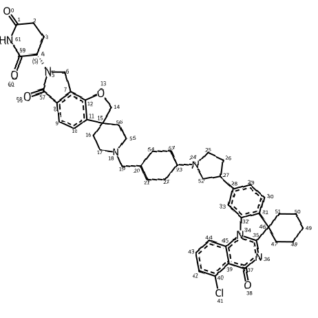 O=C1CC[C@H](N2Cc3c(ccc4c3OCC43CCN(CC4CCC(N5CCC(c6ccc7c(c6)-n6c(nc(=O)c8c(Cl)cccc86)C76CCCCC6)C5)CC4)CC3)C2=O)C(=O)N1